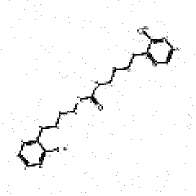 O=C(OCCCCc1ccccc1Cl)OCCCCc1ccccc1Cl